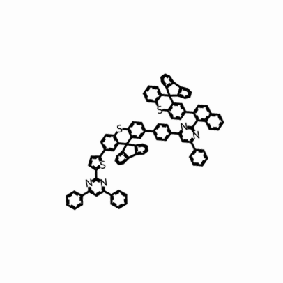 c1ccc(-c2cc(-c3ccccc3)nc(-c3ccc(-c4ccc5c(c4)C4(c6cc(-c7ccc(-c8cc(-c9ccccc9)nc(-c9c(-c%10ccc%11c(c%10)C%10(c%12ccccc%12S%11)c%11ccccc%11-c%11ccccc%11%10)ccc%10ccccc9%10)n8)cc7)ccc6S5)c5ccccc5-c5ccccc54)s3)n2)cc1